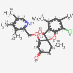 COc1cc(OC)c2c(c1Cl)O[C@]1(C2=O)C(OCc2ncc(C)c([N+](=O)[O-])c2C)=CC(=O)C[C@H]1C